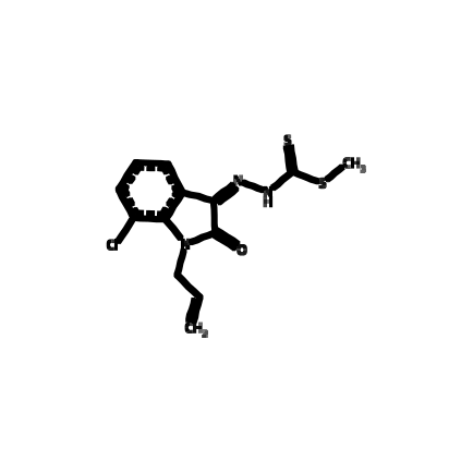 C=CCN1C(=O)C(=NNC(=S)SC)c2cccc(Cl)c21